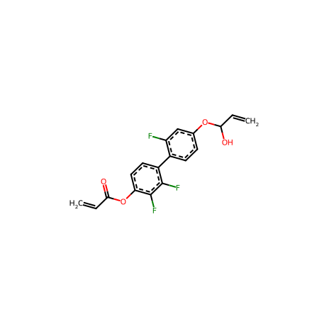 C=CC(=O)Oc1ccc(-c2ccc(OC(O)C=C)cc2F)c(F)c1F